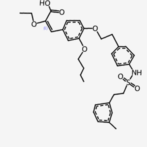 CCCCOc1cc(/C=C(/OCC)C(=O)O)ccc1OCCc1ccc(NS(=O)(=O)CCc2cccc(C)c2)cc1